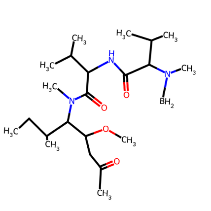 BN(C)C(C(=O)NC(C(=O)N(C)C(C(C)CC)C(CC(C)=O)OC)C(C)C)C(C)C